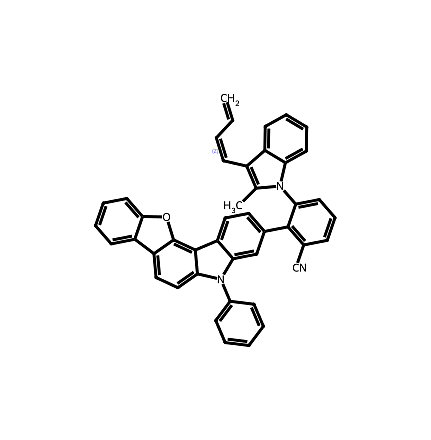 C=C/C=C\c1c(C)n(-c2cccc(C#N)c2-c2ccc3c4c5oc6ccccc6c5ccc4n(-c4ccccc4)c3c2)c2ccccc12